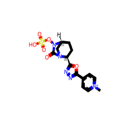 C[n+]1ccc(-c2nnc([C@@H]3CC[C@H]4CN3C(=O)N4OS(=O)(=O)O)o2)cc1